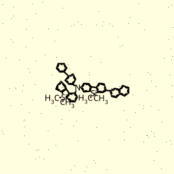 C[Si]1(C)c2cc(-c3ccc4ccccc4c3)ccc2-c2ccc(N(c3ccc(-c4ccccc4)cc3)c3cccc4c3-c3ccccc3[Si]4(C)C)cc21